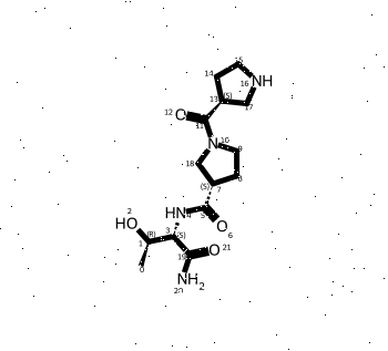 C[C@@H](O)[C@H](NC(=O)[C@H]1CCN(C(=O)[C@H]2CCNC2)C1)C(N)=O